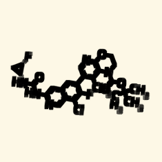 Cc1c(-c2cc3cc(NC(=O)N[C@@H]4C[C@@H]4F)ncc3c(Cl)c2F)cnc2c1N(C(=O)OC(C)(C)C)CCO2